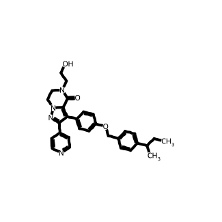 CCC(C)c1ccc(COc2ccc(-c3c(-c4ccncc4)nn4c3C(=O)N(CCO)CC4)cc2)cc1